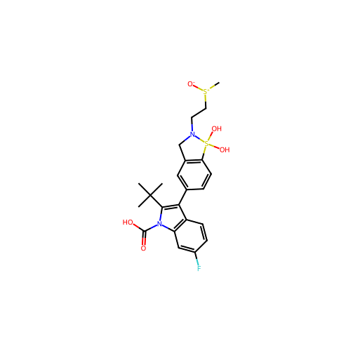 C[S+]([O-])CCN1Cc2cc(-c3c(C(C)(C)C)n(C(=O)O)c4cc(F)ccc34)ccc2S1(O)O